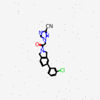 N#Cc1ncn(CC(=O)N2Cc3ccc(-c4cccc(Cl)c4)cc3C2)n1